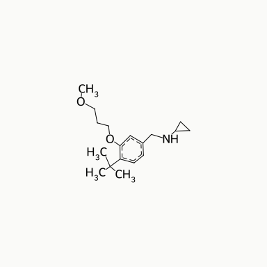 COCCCOc1cc(CNC2CC2)ccc1C(C)(C)C